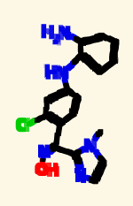 Cn1ccnc1C(=NO)c1ccc(Nc2ccccc2N)cc1Cl